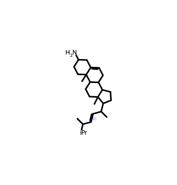 CC(C)C(C)/C=C/C(C)C1CCC2C3CC=C4CC(N)CCC4(C)C3CCC12C